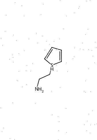 NCC[SH]1C=CC=C1